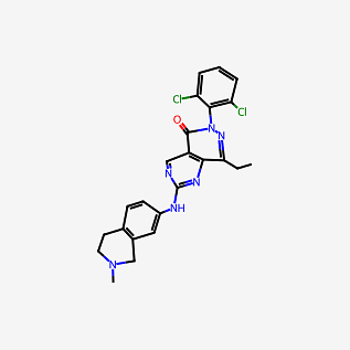 CCc1nn(-c2c(Cl)cccc2Cl)c(=O)c2cnc(Nc3ccc4c(c3)CN(C)CC4)nc12